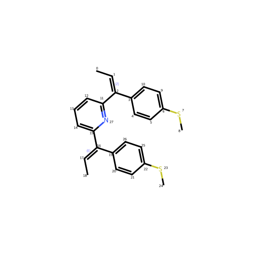 C/C=C(/c1ccc(SC)cc1)c1cccc(/C(=C/C)c2ccc(SC)cc2)n1